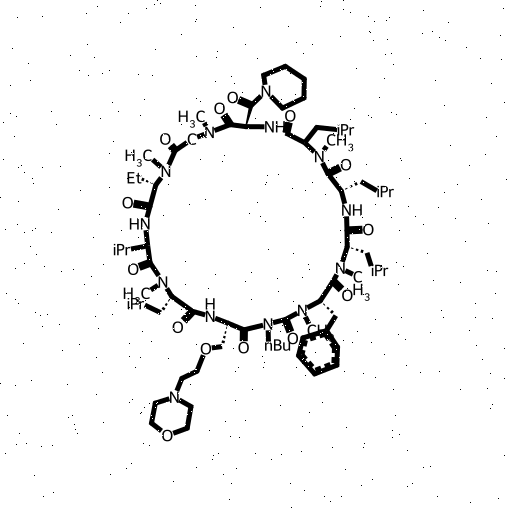 CCCCN1C(=O)[C@H](COCCN2CCOCC2)NC(=O)[C@H](CC(C)C)N(C)C(=O)C(C(C)C)NC(=O)[C@H](CC)N(C)C(=O)CN(C)C(=O)[C@@H](C(=O)N2CCCCC2)NC(=O)C(CC(C)C)N(C)C(=O)[C@H](CC(C)C)NC(=O)[C@H](CC(C)C)N(C)C(=O)[C@H](Cc2ccccc2)N(C)C1=O